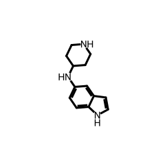 c1cc2cc(NC3CCNCC3)ccc2[nH]1